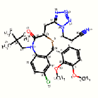 COc1cccc([C@H]2S[C@H](Cc3nnnn3CCC#N)C(=O)N(CC(C)(C)C)c3ccc(Cl)cc32)c1OC